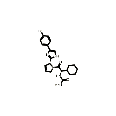 COC(=O)N[C@@H](C(=O)N1CC=C[C@H]1c1nc(-c2ccc(Br)cc2)c[nH]1)C1CCCCC1